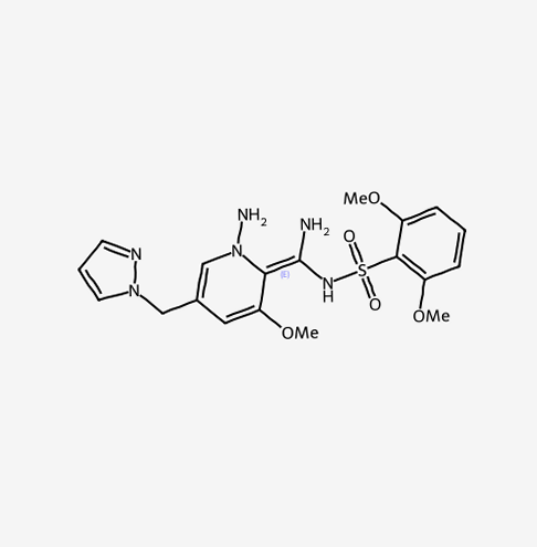 COC1=CC(Cn2cccn2)=CN(N)/C1=C(\N)NS(=O)(=O)c1c(OC)cccc1OC